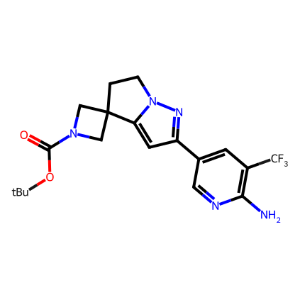 CC(C)(C)OC(=O)N1CC2(CCn3nc(-c4cnc(N)c(C(F)(F)F)c4)cc32)C1